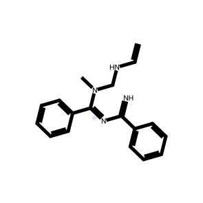 C=CNCN(C)/C(=N\C(=N)c1ccccc1)c1ccccc1